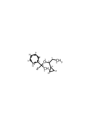 CCC(OC(C)(F)c1ccccn1)C1CC1